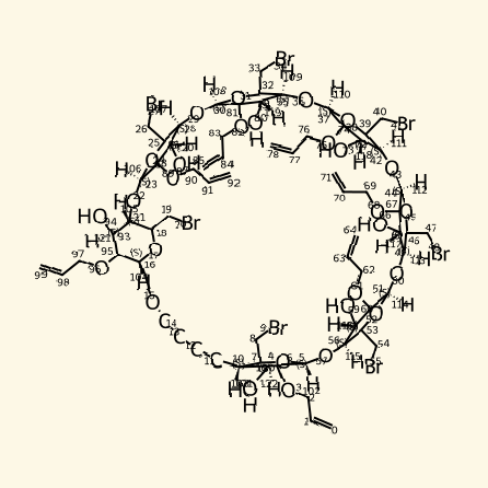 C=CCOC1[C@@H]2OC(CBr)[C@@H](CCCCO[C@H]3OC(CBr)[C@@H](O[C@H]4OC(CBr)[C@@H](O[C@H]5OC(CBr)[C@@H](O[C@H]6OC(CBr)[C@@H](O[C@H]7OC(CBr)[C@@H](O[C@H]8OC(CBr)[C@@H](O2)[C@H](O)C8OCC=C)[C@H](O)C7OCC=C)[C@H](O)C6OCC=C)[C@H](O)C5OCC=C)[C@H](O)C4OCC=C)[C@H](O)C3OCC=C)[C@@H]1O